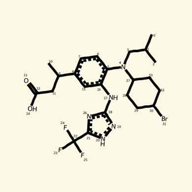 CC(C)CN(c1ccc(C(C)CC(=O)O)cc1Nc1n[nH]c(C(F)(F)F)n1)C1CCC(Br)CC1